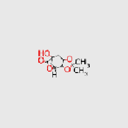 CC1(C)OC2CC3(O)C[C@@H](OC3=O)C2O1